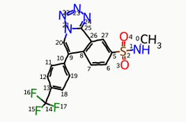 CNS(=O)(=O)c1ccc2c(-c3ccc(C(F)(F)F)cc3)cn3nnnc3c2c1